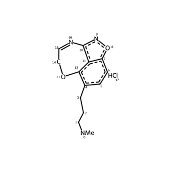 CNCCCc1ccc2onc3c2c1OCC=N3.Cl